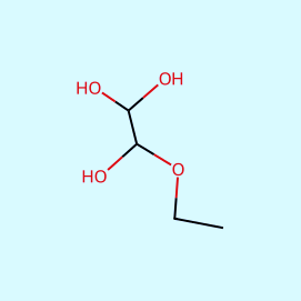 CCOC(O)C(O)O